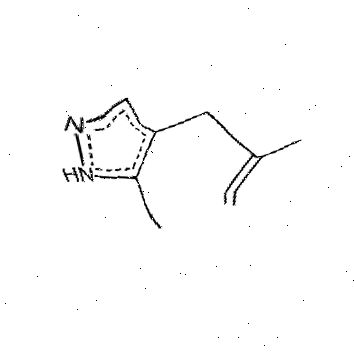 C=C(C)Cc1cn[nH]c1C